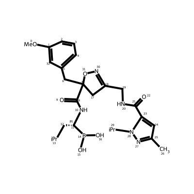 COc1cccc(CC2(C(=O)N[C@@H](CC(C)C)B(O)O)CC(CNC(=O)c3cc(C)nn3C(C)C)=NO2)c1